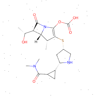 C[C@@H](O)[C@H]1C(=O)N2C(OC(=O)O)=C(S[C@@H]3CN[C@H](C4CC4C(=O)N(C)C)C3)[C@H](C)[C@H]12